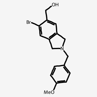 COc1ccc(CN2Cc3cc(Br)c(CO)cc3C2)cc1